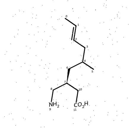 C/C=C/CC(C)C[C@H](CN)CC(=O)O